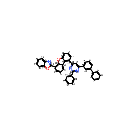 c1ccc(-c2cccc(-c3cc(-c4cccc5oc6c(-c7nc8ccccc8o7)cccc6c45)nc(-c4ccccc4)n3)c2)cc1